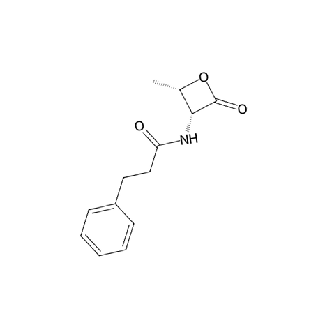 C[C@@H]1OC(=O)[C@@H]1NC(=O)CCc1ccccc1